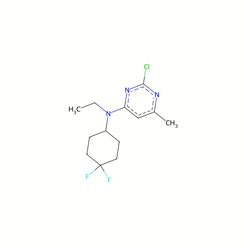 CCN(c1cc(C)nc(Cl)n1)C1CCC(F)(F)CC1